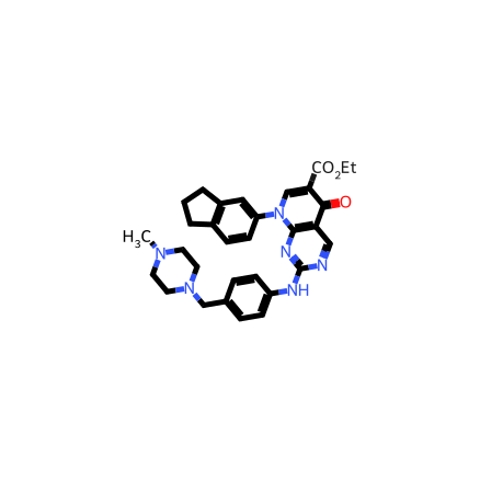 CCOC(=O)c1cn(-c2ccc3c(c2)CCC3)c2nc(Nc3ccc(CN4CCN(C)CC4)cc3)ncc2c1=O